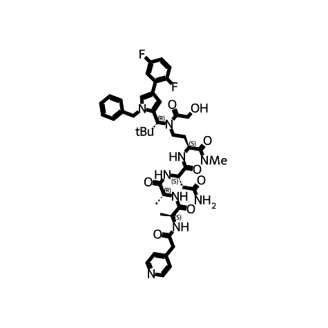 CNC(=O)[C@H](CCN(C(=O)CO)[C@@H](c1cc(-c2cc(F)ccc2F)cn1Cc1ccccc1)C(C)(C)C)NC(=O)[C@H](CC(N)=O)NC(=O)[C@@H](C)NC(=O)[C@H](C)NC(=O)Cc1ccncc1